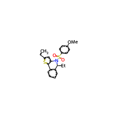 C=Cc1cc2c(s1)-c1ccccc1C(CC)N2S(=O)(=O)c1ccc(OC)cc1